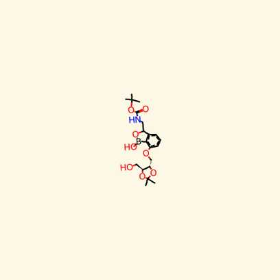 CC(C)(C)OC(=O)NCC1OB(O)c2c(OC[C@@H]3OC(C)(C)O[C@H]3CO)cccc21